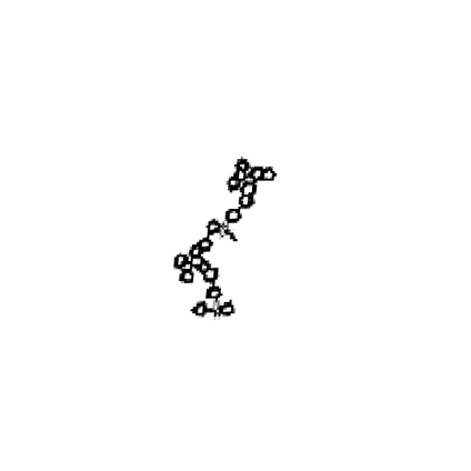 CCCc1nc2c(-c3ccc4c5c(ccc4c3)C3(c4ccccc4-c4ccccc43)c3cc4cc(-c6ccc(-n7c(-c8ccccc8)nc8ccccc87)cc6)ccc4cc3-5)cccc2n1-c1ccc(-c2ccc3cc4c(cc3c2)C2(c3ccccc3-c3ccccc32)c2ccc3ccccc3c2-4)cc1